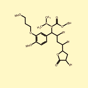 COCCCOc1cc(C(C(CC(Br)C2CC(C(C)C)C(=O)O2)C(C)C)N(C(=O)OC(C)(C)C)N(C)C)ccc1OC